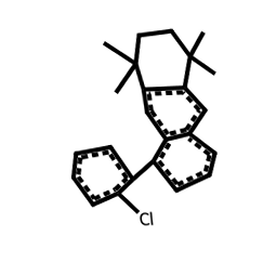 CC1(C)CCC(C)(C)c2cc3c(-c4ccccc4Cl)cccc3cc21